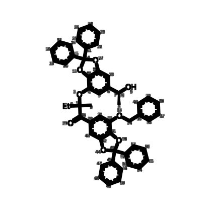 CCC(C)(Oc1cc([C@H](C)O)cc2c1OC(c1ccccc1)(c1ccccc1)O2)C(=O)c1cc(OCc2ccccc2)c2c(c1)OC(c1ccccc1)(c1ccccc1)O2